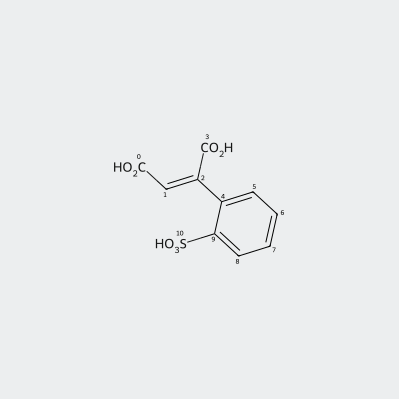 O=C(O)C=C(C(=O)O)c1ccccc1S(=O)(=O)O